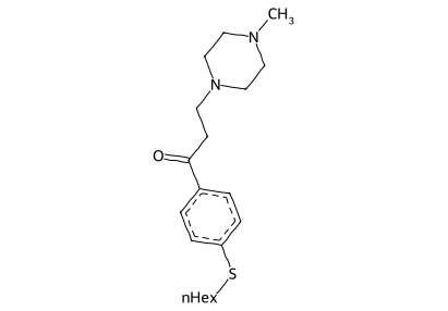 CCCCCCSc1ccc(C(=O)CCN2CCN(C)CC2)cc1